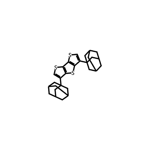 c1sc2c(sc3c(C45CC6CC(CC(C6)C4)C5)csc32)c1C12CC3CC(CC(C3)C1)C2